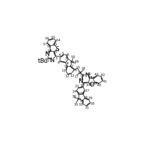 CC(C)(C)c1nc(-c2ccc3c(c2)-c2cccc(CC(C)(C)c4nc(-c5ccc6c(c5)-c5ccccc5C6(C)C)c5oc6ccccc6c5n4)c2C3(C)C)c2sc3ccccc3c2n1